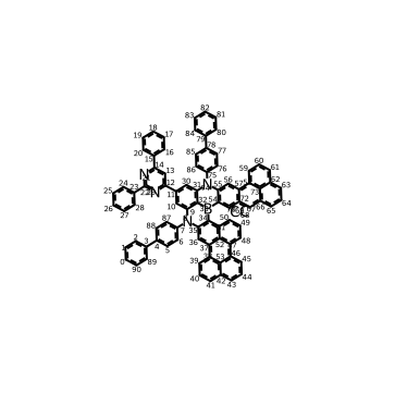 c1ccc(-c2ccc(N3c4cc(-c5cc(-c6ccccc6)nc(-c6ccccc6)n5)cc5c4B(c4c3cc3c6cccc7cccc(c8cccc4c83)c76)c3c(cc4c6cccc7cccc(c8cccc3c84)c76)N5c3ccc(-c4ccccc4)cc3)cc2)cc1